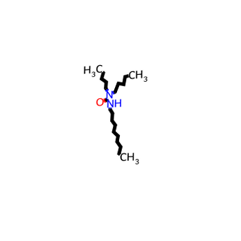 CCCCCCCCCCNC(=O)N(CCCCC)CCCCC